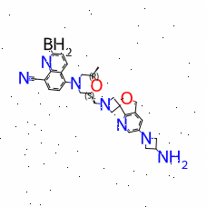 Bc1ccc2c(N3C[C@H](CN4CC5(C4)OCc4cc(N6CC(N)C6)cnc45)O[C@H](C)C3)ccc(C#N)c2n1